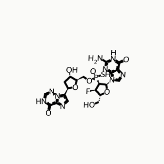 Nc1nc2c(ncn2[C@@H]2O[C@H](CO)[C@@H](F)[C@H]2P(=O)(S)OC[C@H]2O[C@@H](c3cnc4c(=O)[nH]cnn34)C[C@@H]2O)c(=O)[nH]1